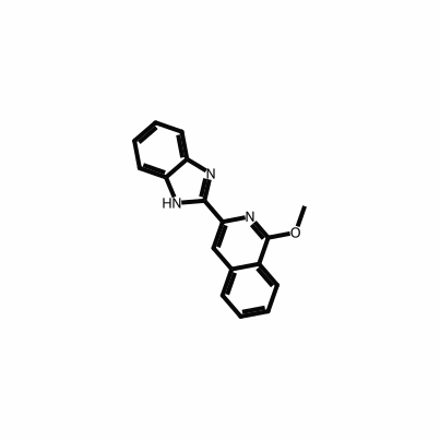 COc1nc(-c2nc3ccccc3[nH]2)cc2ccccc12